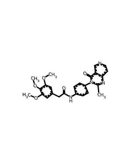 COc1cc(CC(=O)Nc2ccc(-n3c(C)nc4ccncc4c3=O)cc2)cc(OC)c1OC